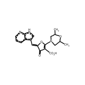 CC1CN(C2=C(C(=O)O)C(=O)C(=Cc3c[nH]c4ncccc34)O2)CC(C)O1